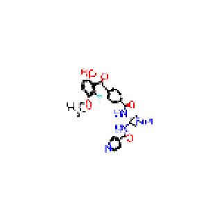 COc1ccc(O)c(C(=O)c2ccc(C(=O)N[C@@H]3CNC[C@H]3NC(=O)c3ccncc3)cc2)c1F